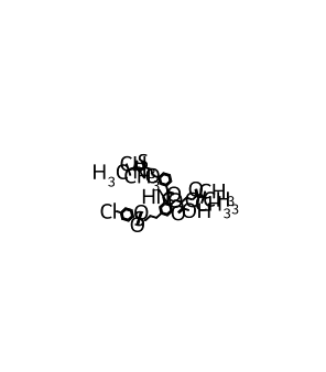 CC(C)(C)C(=O)OCC(Oc1ccc(CCCS(=O)(=O)c2ccc(Cl)cc2)cc1NC(=O)c1cccc(OCc2nc(C(C)(C)C)cs2)c1)C(=O)O